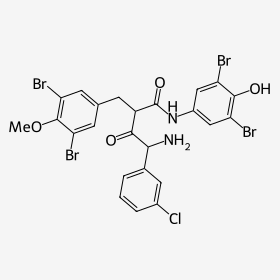 COc1c(Br)cc(CC(C(=O)Nc2cc(Br)c(O)c(Br)c2)C(=O)C(N)c2cccc(Cl)c2)cc1Br